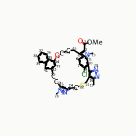 COC(=O)c1c2c3ccc(Cl)c(c3n1C)-c1c(c(C)nn1C)CSCc1cc(n(C)n1)CCc1cc(c3ccccc3c1)OCCC2